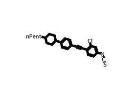 CCCCCC1CCC(c2ccc(C#Cc3ccc(N=C=S)cc3Cl)cc2)CC1